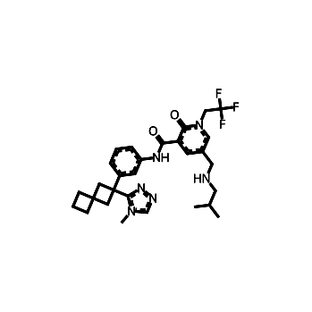 CC(C)CNCc1cc(C(=O)Nc2cccc(C3(c4nncn4C)CC4(CCC4)C3)c2)c(=O)n(CC(F)(F)F)c1